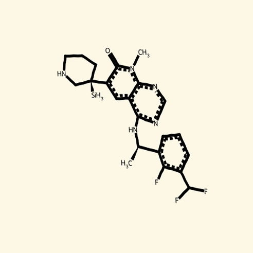 C[C@@H](Nc1ncnc2c1cc([C@@]1([SiH3])CCCNC1)c(=O)n2C)c1cccc(C(F)F)c1F